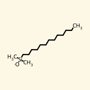 CCCCCCCCCCCCC[Si](C)(C)[O]